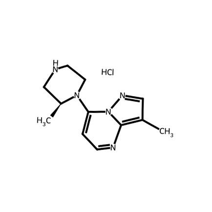 Cc1cnn2c(N3CCNC[C@@H]3C)ccnc12.Cl